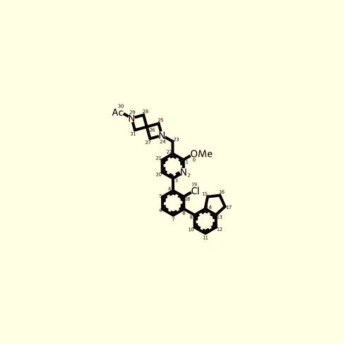 COc1nc(-c2cccc(-c3cccc4c3CCC4)c2Cl)ccc1CN1CC2(C1)CN(C(C)=O)C2